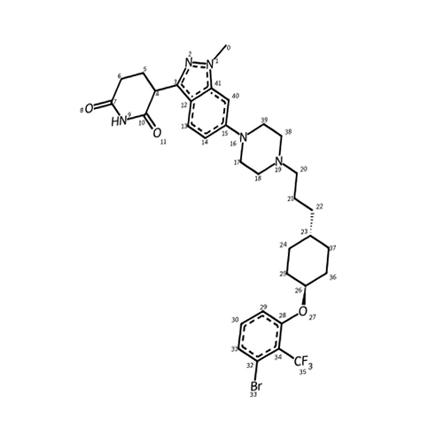 Cn1nc(C2CCC(=O)NC2=O)c2ccc(N3CCN(CCC[C@H]4CC[C@H](Oc5cccc(Br)c5C(F)(F)F)CC4)CC3)cc21